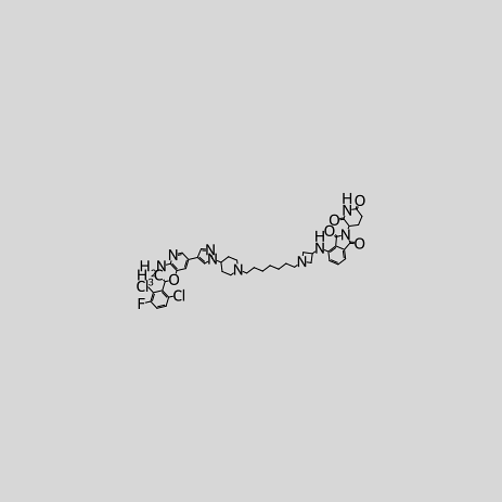 C[C@@H](Oc1cc(-c2cnn(C3CCN(CCCCCCCN4CC(Nc5cccc6c5C(=O)N(C5CCC(=O)NC5=O)C6=O)C4)CC3)c2)cnc1N)c1c(Cl)ccc(F)c1Cl